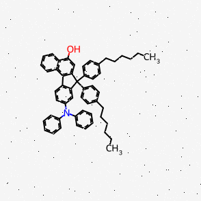 CCCCCCc1ccc(C2(c3ccc(CCCCCC)cc3)c3cc(N(c4ccccc4)c4ccccc4)ccc3-c3c2cc(O)c2ccccc32)cc1